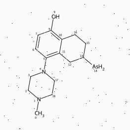 CN1CCN(c2ccc(O)c3c2CC([AsH2])CC3)CC1